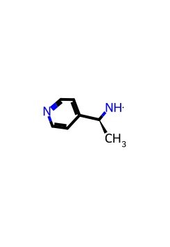 C[C@H]([NH])c1ccncc1